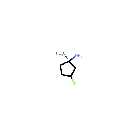 N[C@]1(C(=O)O)CC[C@H](F)C1